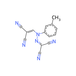 Cc1cccc(N(C=C(C#N)C#N)N=C(C#N)C#N)c1